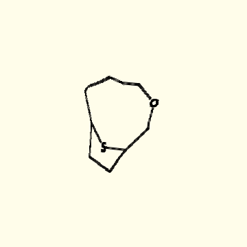 C1COCC2CCC(C1)S2